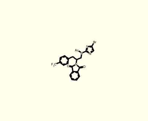 CC(=O)N(CC(Cc1ccc(C(F)(F)F)cc1)N1C(=O)c2ccccc2C1=O)c1ncc(Br)s1